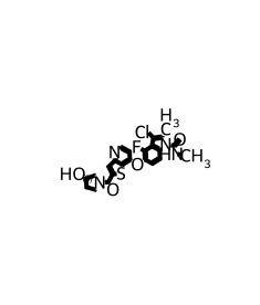 CNC(=O)n1c(C)c(Cl)c2c(F)c(Oc3ccnc4cc(C(=O)N5CC[C@H](O)C5)sc34)ccc21